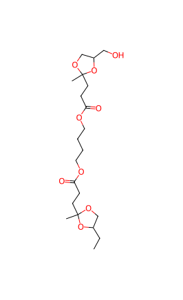 CCC1COC(C)(CCC(=O)OCCCCOC(=O)CCC2(C)OCC(CO)O2)O1